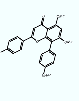 COc1cc(OC)c2c(=O)cc(-c3ccc(O)cc3)oc2c1-c1ccc(NC(C)=O)cc1